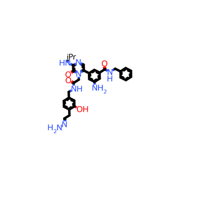 CC(C)Nc1ncc(-c2cc(N)cc(C(=O)NCc3ccccc3)c2)n(CC(=O)NCc2ccc(CC=NN)c(O)c2)c1=O